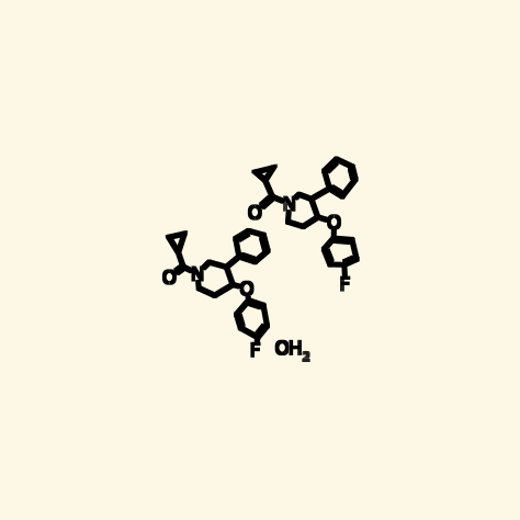 O.O=C(C1CC1)N1CCC(Oc2ccc(F)cc2)C(c2ccccc2)C1.O=C(C1CC1)N1CCC(Oc2ccc(F)cc2)C(c2ccccc2)C1